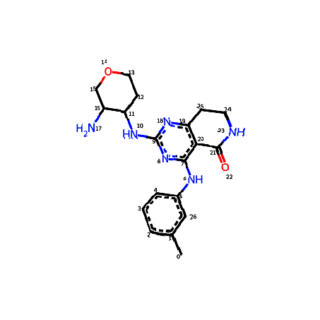 Cc1cccc(Nc2nc(NC3CCOCC3N)nc3c2C(=O)NCC3)c1